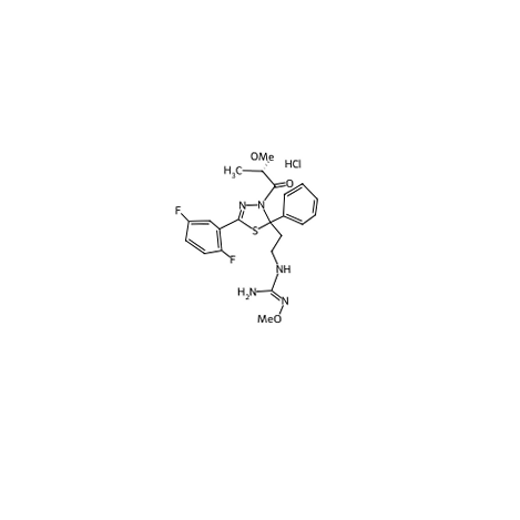 CO/N=C(\N)NCCC1(c2ccccc2)SC(c2cc(F)ccc2F)=NN1C(=O)[C@H](C)OC.Cl